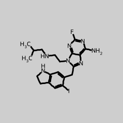 CC(C)CNCCn1c(Cc2cc3c(cc2I)CCN3)nc2c(N)nc(F)nc21